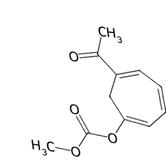 COC(=O)OC1=CC=CC=C(C(C)=O)C1